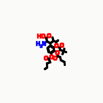 CCCCC(=O)Oc1ccc(C(C(C)C(C)OC(=O)CC(C)(C)C)[C@H](N)C(=O)O)cc1OC(=O)CCCC